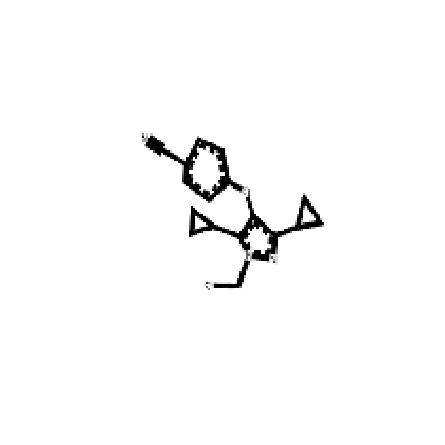 N#Cc1ccc(Oc2c(C3CC3)nn(CCl)c2C2CC2)cc1